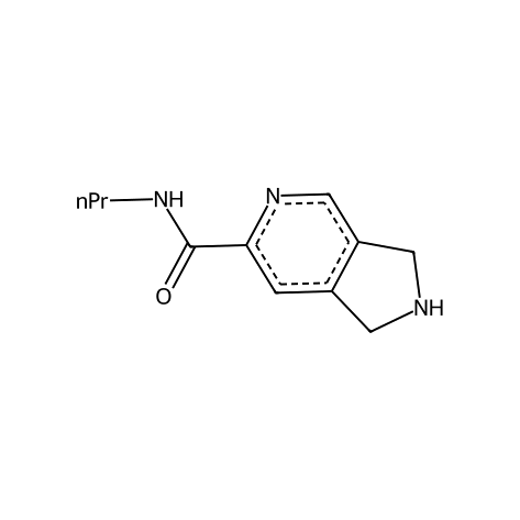 CCCNC(=O)c1cc2c(cn1)CNC2